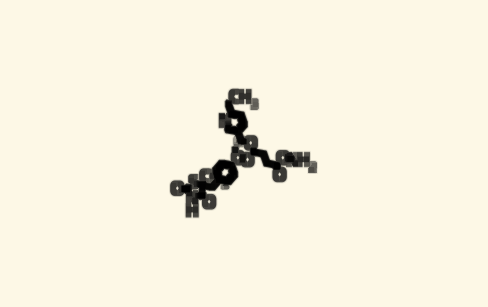 CCc1ccc([C@@H](COc2ccc(CC3(C)SC(=O)NC3=O)cc2)OC(=O)CCC(=O)ON)cn1